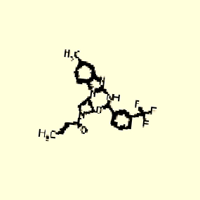 CC=CC(=O)N1CC(n2c(NC(=O)c3cccc(C(F)(F)F)c3)nc3cc(C)ccc32)C1